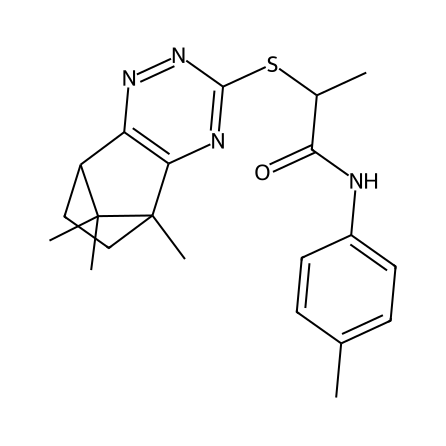 Cc1ccc(NC(=O)C(C)Sc2nnc3c(n2)C2(C)CCC3C2(C)C)cc1